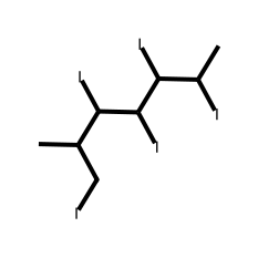 CC(I)C(I)C(I)C(I)C(C)CI